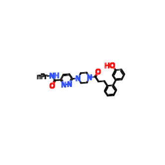 CCCNC(=O)c1ccc(N2CCN(C(=O)CCc3ccccc3-c3cccc(O)c3)CC2)nn1